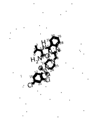 CC(C)[C@H](Nc1nc(CN2CCN(S(=O)(=O)c3ccc(Cl)cc3Cl)CC2)nc2ccccc12)C(N)=O